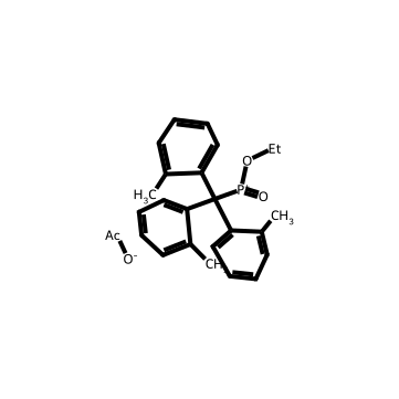 CC(=O)[O-].CCO[P+](=O)C(c1ccccc1C)(c1ccccc1C)c1ccccc1C